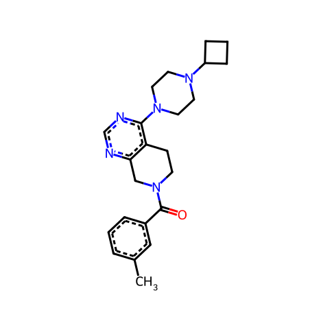 Cc1cccc(C(=O)N2CCc3c(ncnc3N3CCN(C4CCC4)CC3)C2)c1